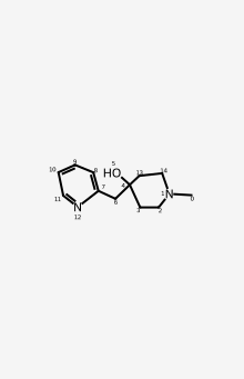 CN1CCC(O)(Cc2ccccn2)CC1